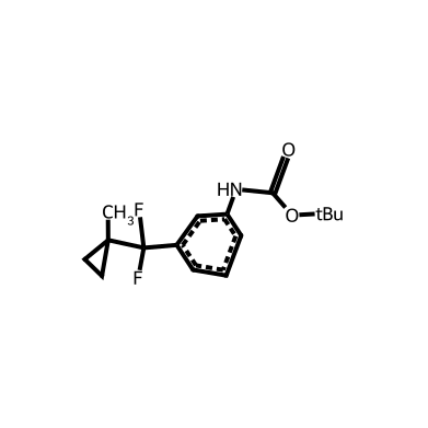 CC(C)(C)OC(=O)Nc1cccc(C(F)(F)C2(C)CC2)c1